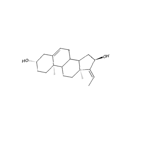 C/C=C1/[C@H](O)CC2C3CC=C4C[C@@H](O)CC[C@]4(C)C3CC[C@]12C